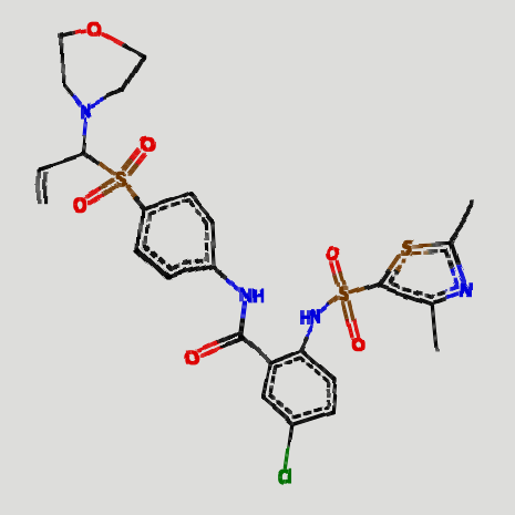 C=CC(N1CCOCC1)S(=O)(=O)c1ccc(NC(=O)c2cc(Cl)ccc2NS(=O)(=O)c2sc(C)nc2C)cc1